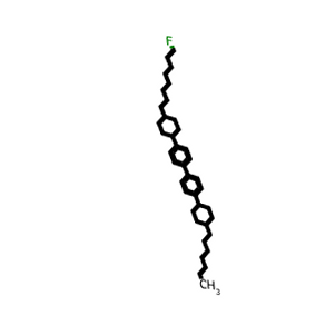 CCCCCCCC1CCC(c2ccc(-c3ccc(C4CCC(CCCCCCCCF)CC4)cc3)cc2)CC1